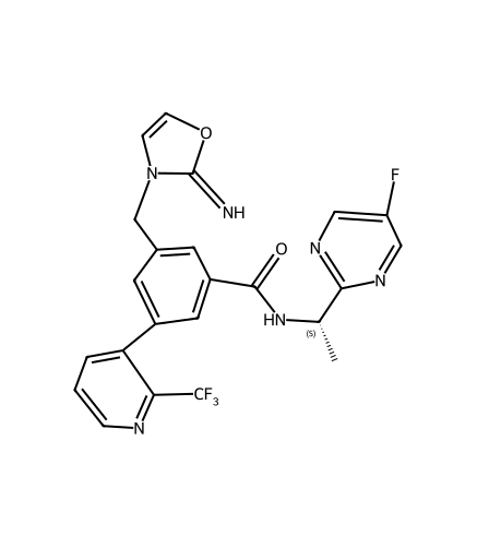 C[C@H](NC(=O)c1cc(Cn2ccoc2=N)cc(-c2cccnc2C(F)(F)F)c1)c1ncc(F)cn1